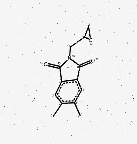 Cc1cc2c(cc1C)C(=O)N(CC1CO1)C2=O